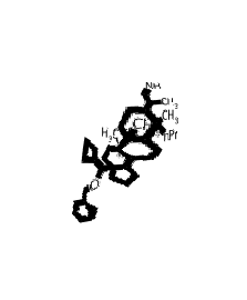 CCCC1(C)C(C(C)C=N)CCC2(C)C1CCC1C3CCCC3(C(OCc3ccccc3)=C3CCC3)CC[C@]12C